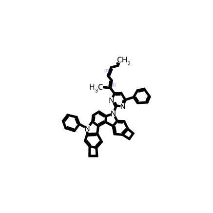 C=C/C=C\C=C(/C)c1cc(-c2ccccc2)nc(-n2c3cc4c(cc3c3c5c6cc7c(cc6n(-c6ccccc6)c5ccc32)CC7)CC4)n1